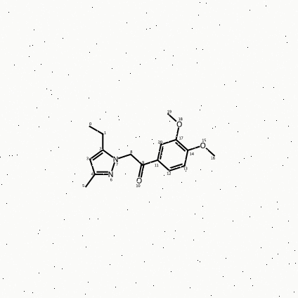 CCc1cc(C)nn1CC(=O)c1ccc(OC)c(OC)c1